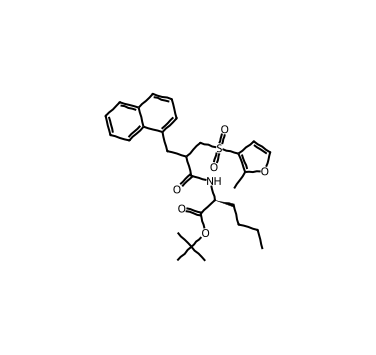 CCCC[C@H](NC(=O)C(Cc1cccc2ccccc12)CS(=O)(=O)c1ccoc1C)C(=O)OC(C)(C)C